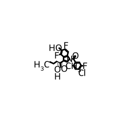 CCCC[C@H](C(=O)O)c1c(C)n(C(=O)c2ccc(Cl)c(F)c2)c2cc(F)c(O)c(F)c12